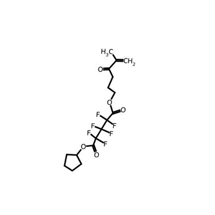 C=C(C)C(=O)CCCOC(=O)C(F)(F)C(F)(F)C(F)(F)C(=O)OC1CCCC1